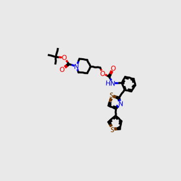 CC(C)(C)OC(=O)N1CCC(COC(=O)Nc2ccccc2-c2nc(-c3ccsc3)cs2)CC1